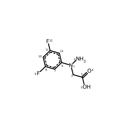 NN(CC(=O)O)c1cc(F)cc(F)c1